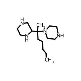 CCCCCC(C)(C1CNCCN1)N1CCNCC1